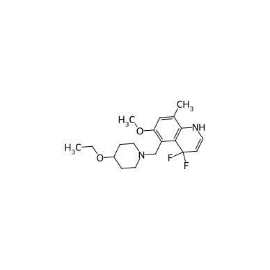 CCOC1CCN(Cc2c(OC)cc(C)c3c2C(F)(F)C=CN3)CC1